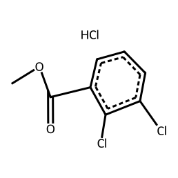 COC(=O)c1cccc(Cl)c1Cl.Cl